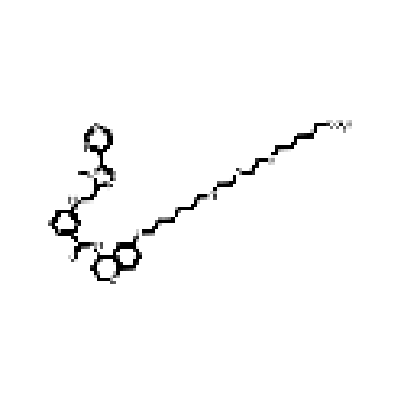 Cn1c(CNc2cccc(C(=O)N[C@@H]3CCOc4ccc(OCCCCCCOCCOCCOCCCCCC(=O)O)cc43)c2)nnc1-c1ccncn1